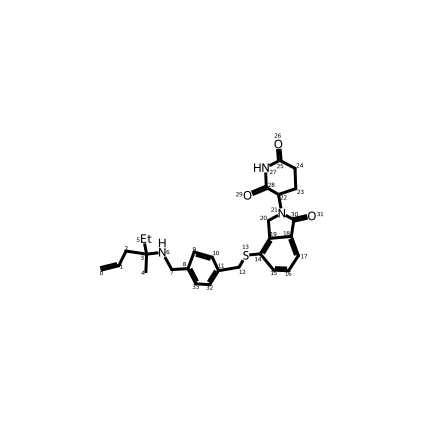 C=CCC(C)(CC)NCc1ccc(CSc2cccc3c2CN(C2CCC(=O)NC2=O)C3=O)cc1